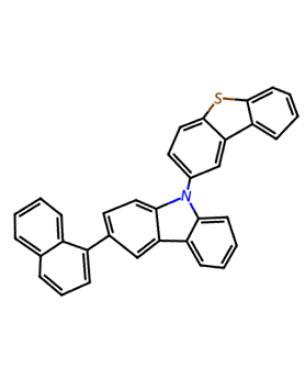 c1ccc2c(-c3ccc4c(c3)c3ccccc3n4-c3ccc4sc5ccccc5c4c3)cccc2c1